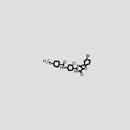 COc1ccc(C(=O)Nc2ccc(-c3nc4c(oc5ccc(Br)cc54)c(=O)[nH]3)c(Cl)c2)cc1